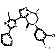 Cc1[nH]c(-c2ccccn2)nc1-c1cnn2c1C(=O)N(c1ccc(C(F)(F)F)c(Cl)c1)C[C@@H]2C